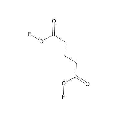 O=C(CCCC(=O)OF)OF